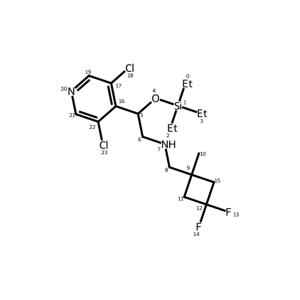 CC[Si](CC)(CC)OC(CNCC1(C)CC(F)(F)C1)c1c(Cl)cncc1Cl